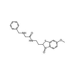 COc1ccc2c(c1)SC(CCNC(=O)CNCc1ccccc1)[N+]2=O